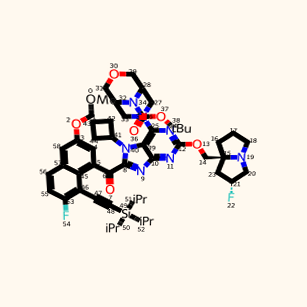 COCOc1cc(C(=O)c2nc3nc(OC[C@@]45CCCN4C[C@H](F)C5)nc(N4CC5COCC(C4)N5C(=O)OC(C)(C)C)c3n2C2CCC2)c2c(C#C[Si](C(C)C)(C(C)C)C(C)C)c(F)ccc2c1